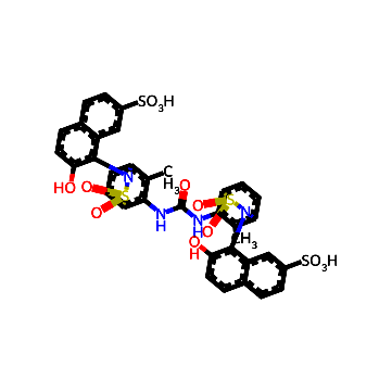 Cc1c2ccc(c1NC(=O)Nc1c3ccc(c1C)N(c1c(O)ccc4ccc(S(=O)(=O)O)cc14)S3(=O)=O)S(=O)(=O)N2c1c(O)ccc2ccc(S(=O)(=O)O)cc12